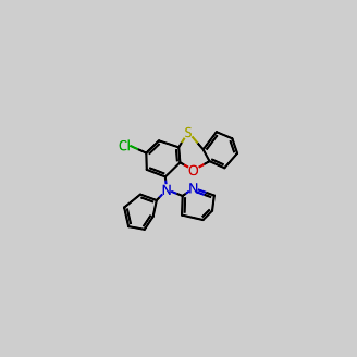 Clc1cc2c(c(N(c3ccccc3)c3ccccn3)c1)Oc1ccccc1S2